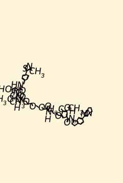 COc1cc(C(=O)N[C@@H]2CCc3ccc(-c4cn5c(n4)CCC5)cc32)cc(OCCCNC(=O)COCCOCCOCC(=O)N[C@H](C(=O)N2C[C@H](O)C[C@H]2C(=O)NCc2ccc(-c3scnc3C)cc2)C(C)(C)C)c1C